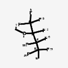 COC(F)(C(F)(F)F)C(F)(F)C(C)(F)F